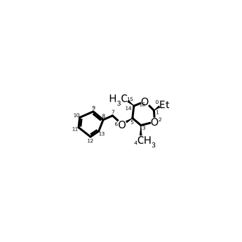 CC[C@H]1O[C@@H](C)[C@@H](OCc2ccccc2)[C@@H](C)O1